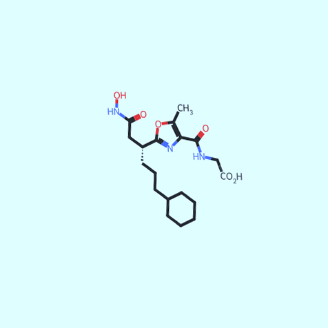 Cc1oc([C@H](CCCC2CCCCC2)CC(=O)NO)nc1C(=O)NCC(=O)O